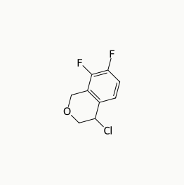 Fc1ccc2c(c1F)COCC2Cl